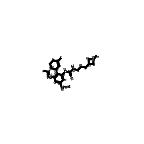 C=C(C)[C@@H]1CCC(C)=C[C@H]1c1c(O)cc(CCCCC)cc1OC(=S)NCCCC1CN(C)C1